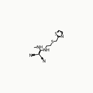 CNC(NCCSCc1nccs1)=C(C#N)C#N